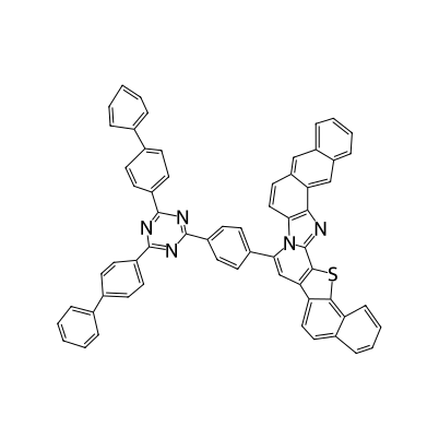 c1ccc(-c2ccc(-c3nc(-c4ccc(-c5ccccc5)cc4)nc(-c4ccc(-c5cc6c7ccc8ccccc8c7sc6c6nc7c8cc9ccccc9cc8ccc7n56)cc4)n3)cc2)cc1